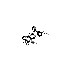 CC[C@@]12CCCN1c1nc(-n3ccnc3-c3cccc(OC(F)(F)F)c3)ncc1N(C)C2=O